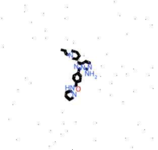 CC=CN1CCC[C@H](c2nc(-c3ccc(C(=O)Nc4ccccn4)cc3)n3c(N)nccc23)C1